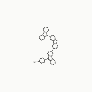 N#Cc1ccc(-n2c3ccccc3c3cc(-c4ccc5sc6ccc(-n7c8ccccc8c8ccccc87)cc6c5c4)ccc32)cc1